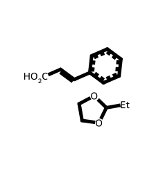 CCC1OCCO1.O=C(O)C=Cc1ccccc1